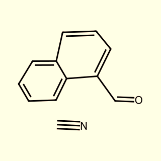 C#N.O=Cc1cccc2ccccc12